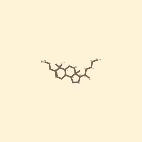 CCC1(C)C(CCS)=CCC2C1CCC1(C)C(C(C)CCCC(C)C)CCC21